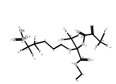 C=C(C(=O)OC(OCCCC(F)(F)C(F)(F)S(=O)(=O)O)(C(=O)OCC)C(F)(F)F)C(F)(F)F